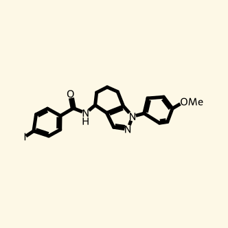 COc1ccc(-n2ncc3c2CCCC3NC(=O)c2ccc(I)cc2)cc1